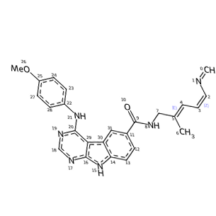 C=N/C=C\C=C(/C)CNC(=O)c1ccc2[nH]c3ncnc(Nc4ccc(OC)cc4)c3c2c1